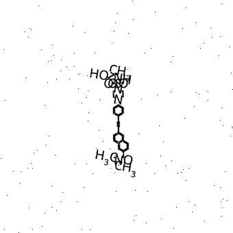 CC(NS(=O)(=O)N1CCN(c2ccc(C#Cc3ccc4cc(C(=O)N(C)C)ccc4c3)cc2)CC1)C(=O)O